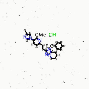 COc1nc(C=Cc2nc3n(n2)CCC[C@H]3c2ccccc2C(F)(F)F)ccc1-n1cnc(C)c1.Cl